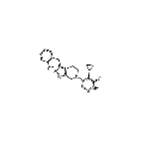 O=c1[nH]ncc(N2CCc3c(ncn3Cc3ccccc3C(F)(F)F)C2)c1C1CC1